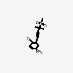 CC(C)(C#Cc1cc(N)ccc1Cl)S(C)(=O)=O